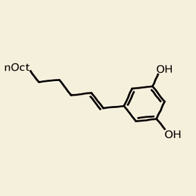 CCCCCCCCCCC/C=C/c1cc(O)cc(O)c1